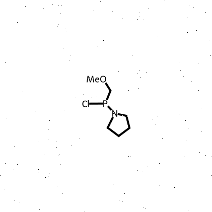 COCP(Cl)N1CCCC1